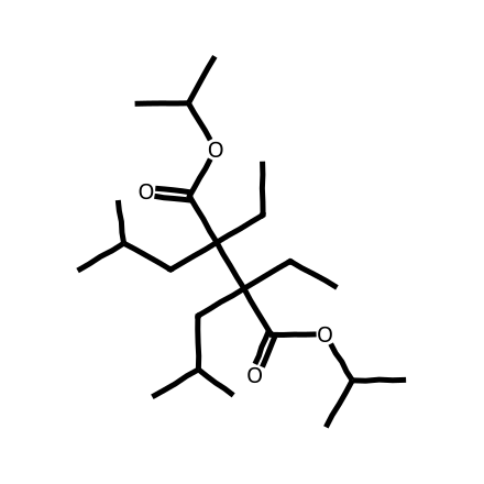 CCC(CC(C)C)(C(=O)OC(C)C)C(CC)(CC(C)C)C(=O)OC(C)C